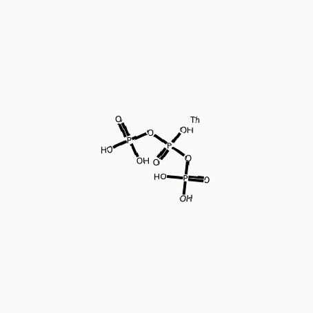 O=P(O)(O)OP(=O)(O)OP(=O)(O)O.[Th]